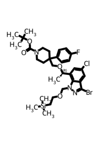 C[C@@H](OCC1(c2ccc(F)cc2)CCN(C(=O)OC(C)(C)C)CC1)c1cc(Cl)cc2c(Br)nn(COCC[Si](C)(C)C)c12